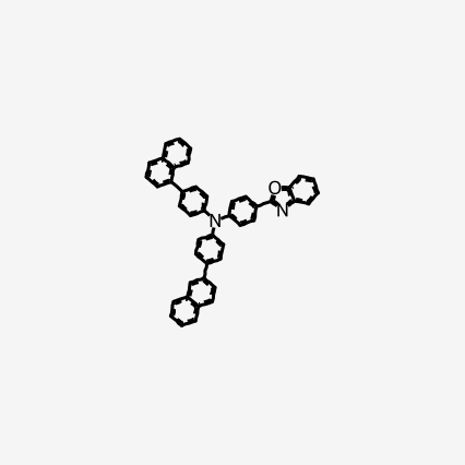 c1ccc2cc(-c3ccc(N(c4ccc(-c5nc6ccccc6o5)cc4)c4ccc(-c5cccc6ccccc56)cc4)cc3)ccc2c1